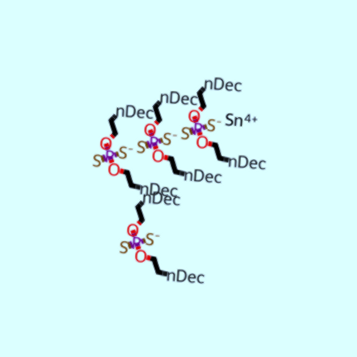 CCCCCCCCCCCCOP(=S)([S-])OCCCCCCCCCCCC.CCCCCCCCCCCCOP(=S)([S-])OCCCCCCCCCCCC.CCCCCCCCCCCCOP(=S)([S-])OCCCCCCCCCCCC.CCCCCCCCCCCCOP(=S)([S-])OCCCCCCCCCCCC.[Sn+4]